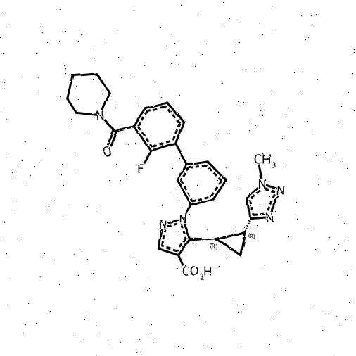 Cn1cc([C@@H]2C[C@H]2c2c(C(=O)O)cnn2-c2cccc(-c3cccc(C(=O)N4CCCCC4)c3F)c2)nn1